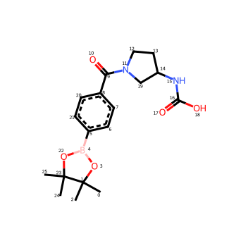 CC1(C)OB(c2ccc(C(=O)N3CCC(NC(=O)O)C3)cc2)OC1(C)C